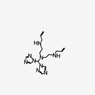 C=CCNCCN(CCNCC=C)C(n1cncn1)n1cncn1